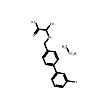 CC(NCc1ccc(-c2cccc(Cl)c2)cc1)C(N)=O.CS(=O)(=O)O